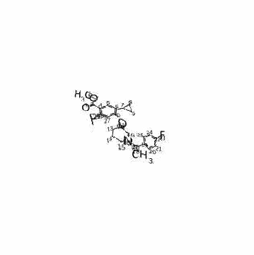 COC(=O)c1cc(C2CC2)c(O[C@@H]2CCCN([C@@H](C)c3ccc(F)cc3)C2)cc1F